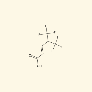 O=C(O)C=CC(C(F)(F)F)C(F)(F)F